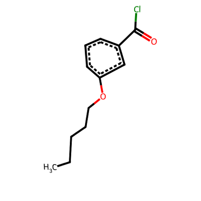 CCCCCOc1cccc(C(=O)Cl)c1